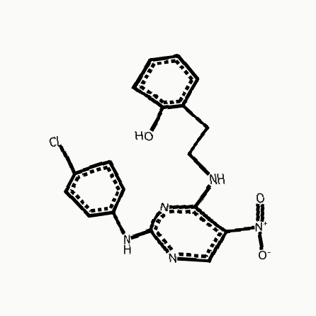 O=[N+]([O-])c1cnc(Nc2ccc(Cl)cc2)nc1NCCc1ccccc1O